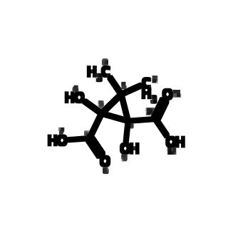 CC1(C)C(O)(C(=O)O)C1(O)C(=O)O